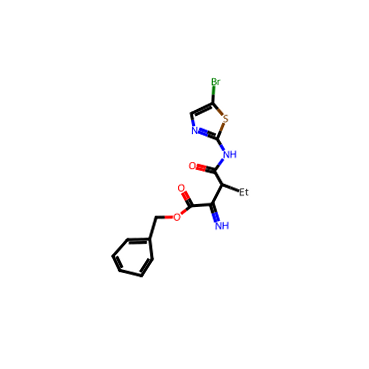 CCC(C(=N)C(=O)OCc1ccccc1)C(=O)Nc1ncc(Br)s1